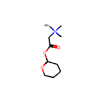 CCC[N+](C)(C)CC(=O)OC1CCCCO1